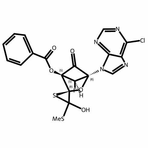 CSC1(O)S[C@@]12O[C@]1(n3cnc4c(Cl)ncnc43)C(=O)[C@]2(OC(=O)c2ccccc2)[C@@H]1F